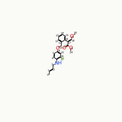 C/C=C/CNc1ccc(OCc2ccccc2/C(=C\OC)C(=O)OC)cc1F